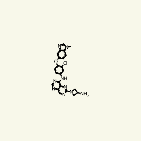 Cn1cnc2cc(Oc3ccc(Nc4ncnc5cnc(N6CC(N)C6)nc45)cc3Cl)ccc21